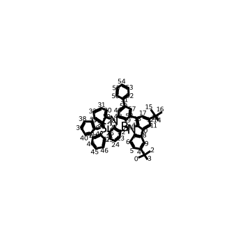 CC(C)(C)c1ccc2c(c1)c1cc(C(C)(C)C)cc3c1n2B1c2cccc4c2N(c2ccccc2[Si]4(c2ccccc2)c2ccccc2)c2cc(-c4ccccc4)cc-3c21